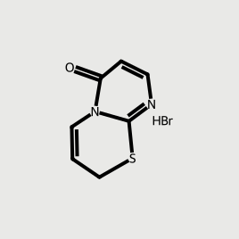 Br.O=c1ccnc2n1C=CCS2